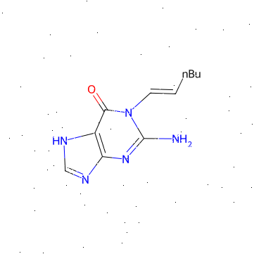 CCCCC=Cn1c(N)nc2nc[nH]c2c1=O